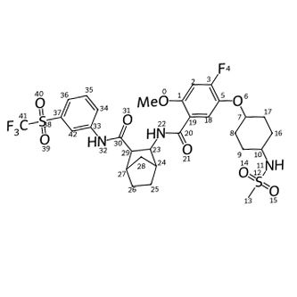 COc1cc(F)c(OC2CCC(NS(C)(=O)=O)CC2)cc1C(=O)NC1C2CCC(C2)C1C(=O)Nc1cccc(S(=O)(=O)C(F)(F)F)c1